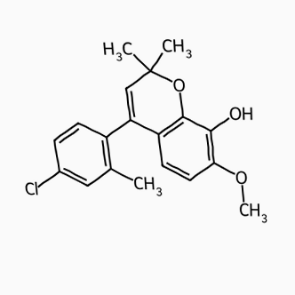 COc1ccc2c(c1O)OC(C)(C)C=C2c1ccc(Cl)cc1C